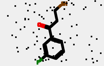 O=C(CCS)c1cccc(F)c1